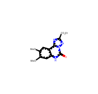 CCOC(=O)c1nc2c3cc(OC)c(OC)cc3[nH]c(=O)n2n1